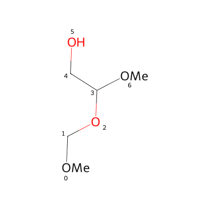 COCOC(CO)OC